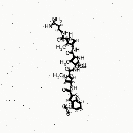 Cc1c(NC(=O)c2[nH]cc(NC(=O)c3cc(NC(=O)c4cc5c([N+](=O)[O-])cccc5s4)cn3C)c2C)c[nH]c1C(=O)NCCC(=N)N.Cl.Cl